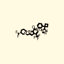 Cn1cnnc1C1(c2cccc(-n3cc(C(F)(F)F)c4cc(CN5CCC[C@@H](C(F)F)C5)[nH]c4c3=O)c2)CCC1